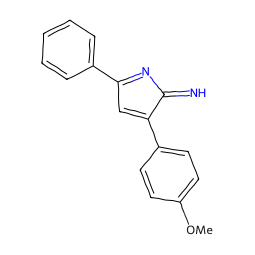 COc1ccc(C2=CC(c3ccccc3)=NC2=N)cc1